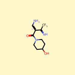 N=C(/C(=C\N)C(=O)N1CCC(O)CC1)C(F)(F)F